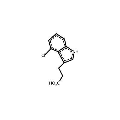 O=C(O)C[CH]c1c[nH]c2cccc(Cl)c12